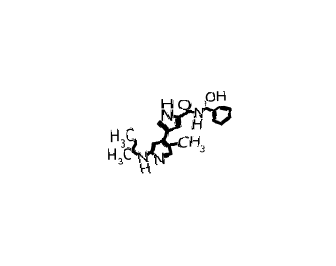 CCC(C)Nc1cc(-c2c[nH]c(C(=O)N[C@H](CO)c3ccccc3)c2)c(C)cn1